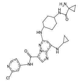 NC1(C(=O)NC2CCC(Nc3cc(NC4CC4)c4ncc(C(=O)Nc5ccnc(Cl)c5)n4n3)CC2)CC1